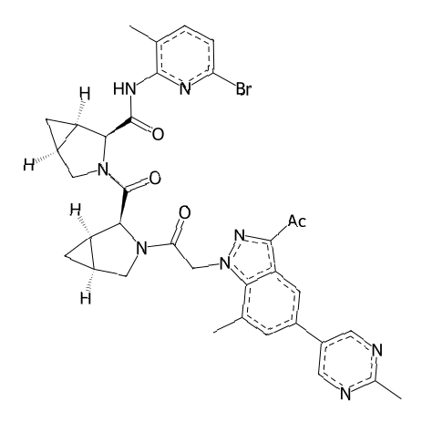 CC(=O)c1nn(CC(=O)N2C[C@H]3C[C@H]3[C@H]2C(=O)N2C[C@H]3C[C@H]3[C@H]2C(=O)Nc2nc(Br)ccc2C)c2c(C)cc(-c3cnc(C)nc3)cc12